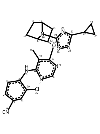 [C-]#[N+]c1ccc(Nc2ncnc(O[C@H]3CC4CCC3N4c3nc(C4CC4)no3)c2C)c(Cl)c1